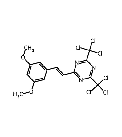 COc1cc(C=Cc2nc(C(Cl)(Cl)Cl)nc(C(Cl)(Cl)Cl)n2)cc(OC)c1